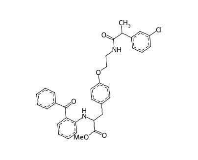 COC(=O)C(Cc1ccc(OCCNC(=O)C(C)c2cccc(Cl)c2)cc1)Nc1ccccc1C(=O)c1ccccc1